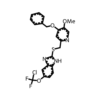 COc1cnc(CSc2nc3cc(OC(F)(F)Cl)ccc3[nH]2)cc1OCc1ccccc1